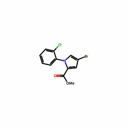 COC(=O)c1cc(Br)cn1-c1ccccc1Cl